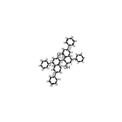 Oc1cc(-c2ccccc2)c2cc(-c3ccccc3)ccc2c1-c1c(O)cc(-c2ccccc2)c2cc(-c3ccccc3)ccc12